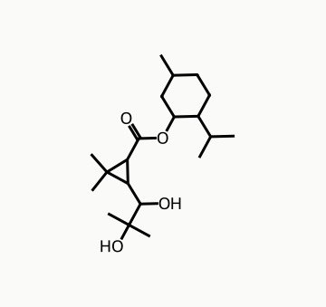 CC1CCC(C(C)C)C(OC(=O)C2C(C(O)C(C)(C)O)C2(C)C)C1